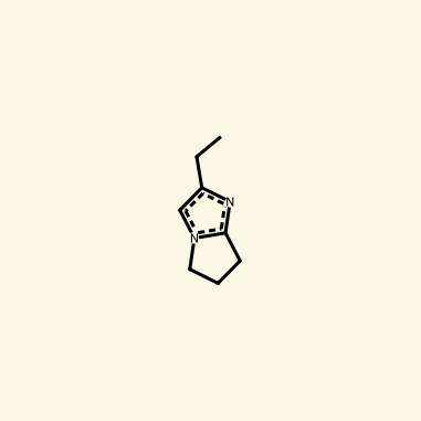 CCc1cn2c(n1)CCC2